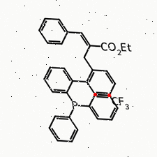 CCOC(=O)/C(=C/c1ccccc1)Cc1ccc(C(F)(F)F)cc1-c1ccccc1P(c1ccccc1)c1ccccc1